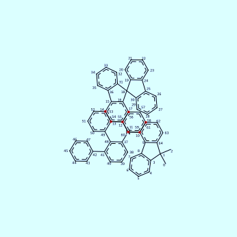 CC1(C)c2ccccc2-c2c(N(c3ccc4c(c3)C3(c5ccccc5-c5ccccc53)c3ccccc3-4)c3cccc(-c4ccccc4)c3-c3ccccc3-c3ccccc3)cccc21